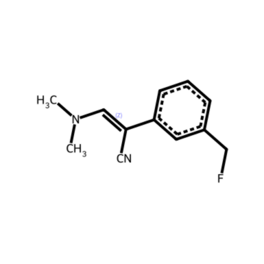 CN(C)/C=C(\C#N)c1cccc(CF)c1